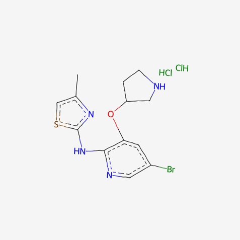 Cc1csc(Nc2ncc(Br)cc2OC2CCNC2)n1.Cl.Cl